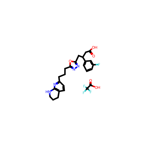 O=C(O)C(F)(F)F.O=C(O)CC(Cc1nnc(CCCc2ccc3c(n2)NCCC3)o1)c1cccc(F)c1